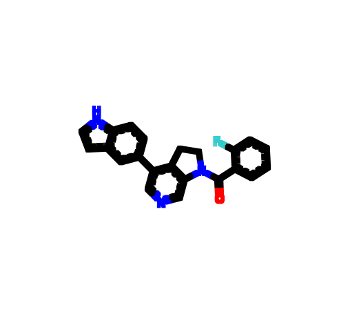 O=C(c1ccccc1F)N1CCc2c(-c3ccc4[nH]ccc4c3)cncc21